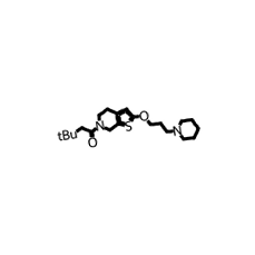 CC(C)(C)CC(=O)N1CCc2cc(OCCCN3CCCCC3)sc2C1